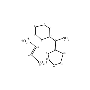 NC(C1CCCCC1)C1CCCCC1.O=C(O)C=CC(=O)O